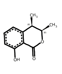 C[C@@H]1c2cccc(O)c2C(=O)O[C@@H]1C